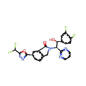 O=C1c2cc(-c3nnc(C(F)F)o3)ccc2CN1[C@H](c1ncccn1)[C@@H](O)c1ccc(F)c(F)c1